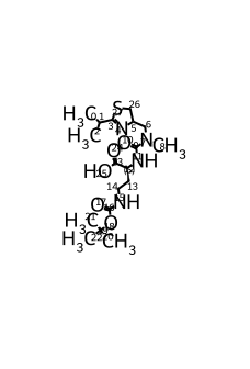 CC(C)C1=NC(CN(C)C(=O)N[C@@H](CCNC(=O)OC(C)(C)C)C(=O)O)CS1